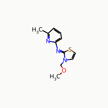 COCn1ccs/c1=N\c1cccc(C)n1